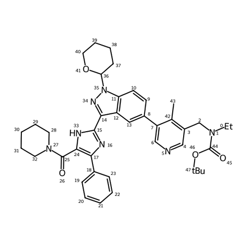 CCN(Cc1cncc(-c2ccc3c(c2)c(-c2nc(-c4ccccc4)c(C(=O)N4CCCCC4)[nH]2)nn3C2CCCCO2)c1C)C(=O)OC(C)(C)C